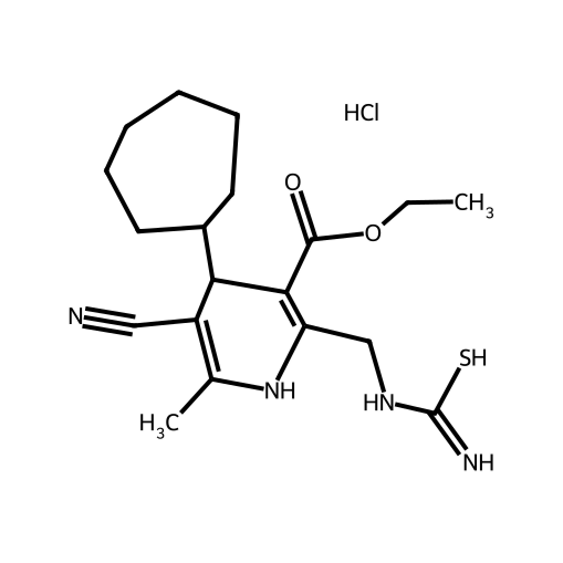 CCOC(=O)C1=C(CNC(=N)S)NC(C)=C(C#N)C1C1CCCCCC1.Cl